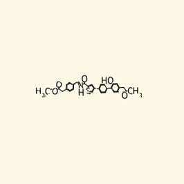 CCOC(=O)Cc1ccc(CNC(=O)c2cc(-c3ccc(-c4ccc(CC(C)=O)cc4O)cc3)cs2)cc1